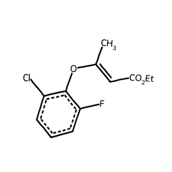 CCOC(=O)C=C(C)Oc1c(F)cccc1Cl